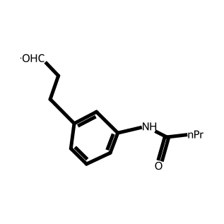 CCCC(=O)Nc1cccc(CC[C]=O)c1